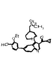 CCOc1cc(-c2ccc3ncc(C(=O)C4CC4)c(N4CCC(CN(C)C)CC4)c3c2)ccc1O